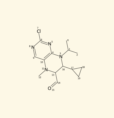 CC(C)N1c2nc(Cl)ncc2N(C)C(C=O)C1C1CC1